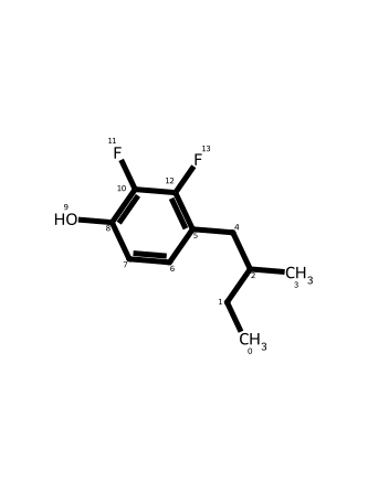 CCC(C)Cc1ccc(O)c(F)c1F